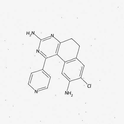 Nc1nc2c(c(-c3ccncc3)n1)-c1cc(N)c(Cl)cc1CC2